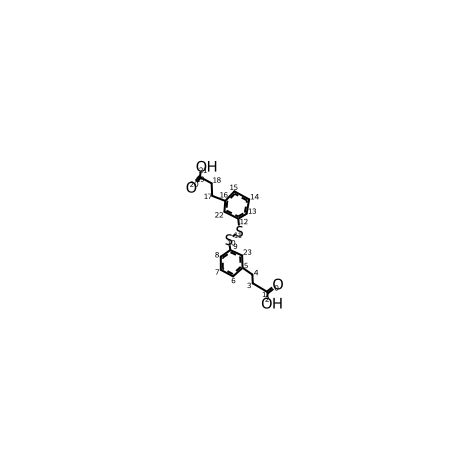 O=C(O)CCc1cccc(SSc2cccc(CCC(=O)O)c2)c1